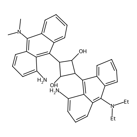 CCN(CC)c1c2ccccc2c(C2C(O)C(c3c4ccccc4c(N(C)C)c4cccc(N)c34)C2O)c2c(N)cccc12